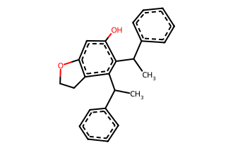 CC(c1ccccc1)c1c(O)cc2c(c1C(C)c1ccccc1)CCO2